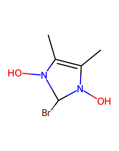 CC1=C(C)N(O)C(Br)N1O